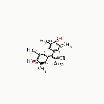 Cc1cc(C(=C(C#N)C=O)c2cc(C)c(O)c(C)c2)cc(C)c1O